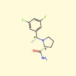 C[C@H](c1cc(F)cc(F)c1)N1CCC[C@@H]1C(N)=O